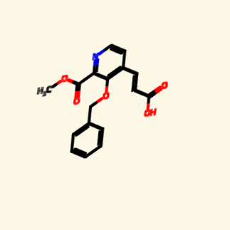 COC(=O)c1nccc(/C=C/C(=O)O)c1OCc1ccccc1